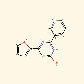 Oc1cc(-c2ccco2)nc(-c2cccnc2)n1